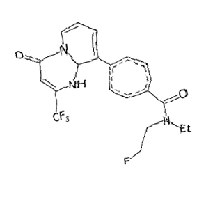 CCN(CCF)C(=O)c1ccc(C2=CC=CN3C(=O)C=C(C(F)(F)F)NC23)cc1